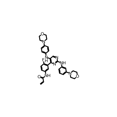 C=CC(=O)Nc1ccc(F)c(-c2nc(Nc3cccc(N4CCOCC4)c3)ncc2Nc2ccc(N3CCOCC3)cc2)c1